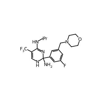 CC(C)NC1=NC(N)(c2cc(F)cc(CN3CCOCC3)c2)NC=C1C(F)(F)F